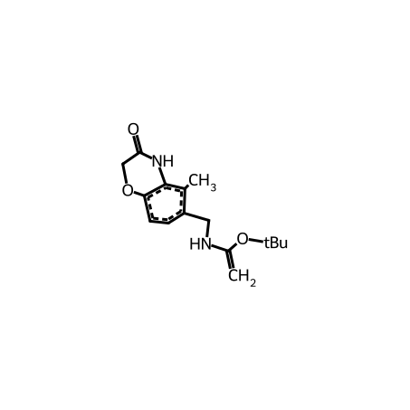 C=C(NCc1ccc2c(c1C)NC(=O)CO2)OC(C)(C)C